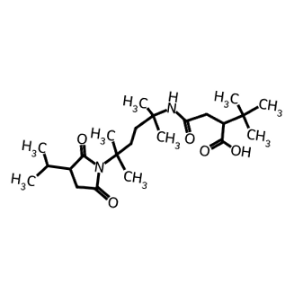 CC(C)C1CC(=O)N(C(C)(C)CCC(C)(C)NC(=O)CC(C(=O)O)C(C)(C)C)C1=O